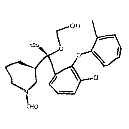 CCCC[C@@](OCO)(c1cccc(Cl)c1Oc1ccccc1C)[C@@H]1CCCN(C=O)C1